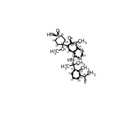 COC1(c2cc3c(NC(C)(C)c4cccc(C(F)P)c4C)ncnc3n(C)c2=O)CCS(=N)(=O)CC1